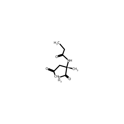 CCC(=O)N[C@@](C)(CC(C)=O)C(C)=O